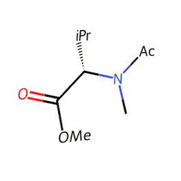 COC(=O)[C@H](C(C)C)N(C)C(C)=O